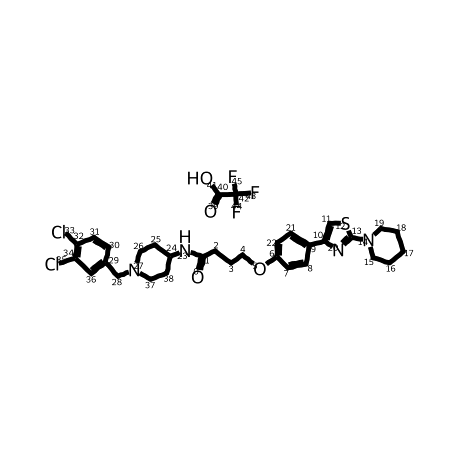 O=C(CCCOc1ccc(-c2csc(N3CCCCC3)n2)cc1)NC1CCN(Cc2ccc(Cl)c(Cl)c2)CC1.O=C(O)C(F)(F)F